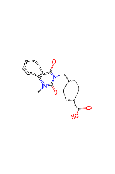 Cn1c(=O)n(CC2CCC(C(=O)O)CC2)c(=O)c2ccccc21